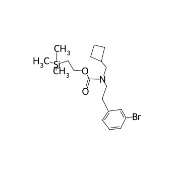 C[Si](C)(C)CCOC(=O)N(CCc1cccc(Br)c1)CC1CCC1